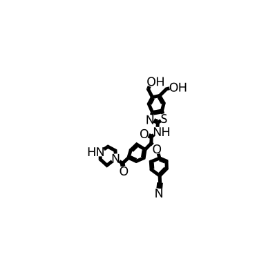 N#Cc1ccc(OC(C(=O)Nc2nc3cc(CO)c(CO)cc3s2)c2ccc(C(=O)N3CCNCC3)cc2)cc1